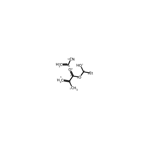 C=C(C)C(=O)OC(O)CC.C=CC#N